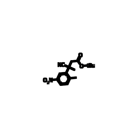 Cc1ccc([N+](=O)[O-])cc1C(C)(C#N)CC(=O)OC(C)(C)C